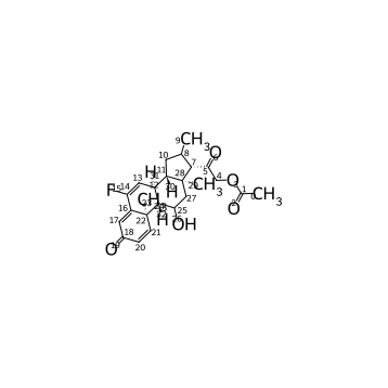 CC(=O)OCC(=O)[C@H]1C(C)C[C@H]2[C@@H]3C=C(F)C4=CC(=O)C=C[C@]4(C)[C@H]3C(O)C[C@]12C